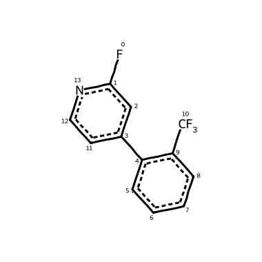 Fc1cc(-c2[c]cccc2C(F)(F)F)ccn1